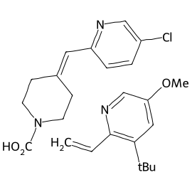 C=Cc1ncc(OC)cc1C(C)(C)C.O=C(O)N1CCC(=Cc2ccc(Cl)cn2)CC1